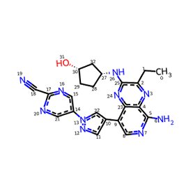 CCc1nc2c(N)ncc(-c3cnn(-c4cnc(C#N)nc4)c3)c2nc1N[C@@H]1CC[C@H](O)C1